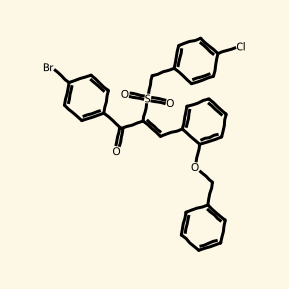 O=C(C(=Cc1ccccc1OCc1ccccc1)S(=O)(=O)Cc1ccc(Cl)cc1)c1ccc(Br)cc1